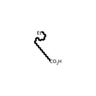 CC/C=C\C/C=C\C/C=C\C/C=C\C/C=C\C/C=C\CCCCCCCCCCCCCCCCC(=O)O